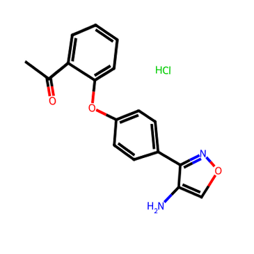 CC(=O)c1ccccc1Oc1ccc(-c2nocc2N)cc1.Cl